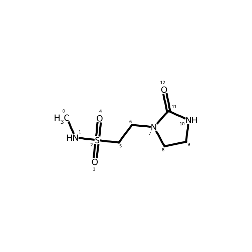 CNS(=O)(=O)CCN1CCNC1=O